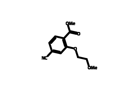 COCCOc1cc(C#N)ccc1C(=O)OC